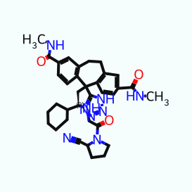 CNC(=O)c1ccc2c(c1)CCc1cc(C(=O)NC)ccc1C2(C[C@@H](NCC(=O)N1CCCC1C#N)C1CCCCC1)c1nnn[nH]1